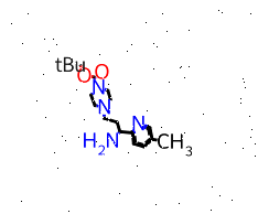 Cc1ccc(C(N)CCN2CCN(C(=O)OC(C)(C)C)CC2)nc1